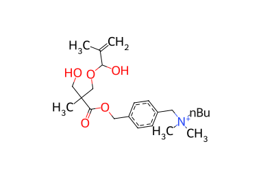 C=C(C)C(O)OCC(C)(CO)C(=O)OCc1ccc(C[N+](C)(C)CCCC)cc1